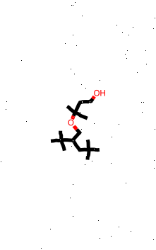 CC(C)(C)CC(COC(C)(C)CCO)C(C)(C)C